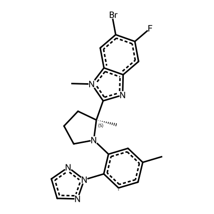 Cc1c[c]c(-n2nccn2)c(N2CCC[C@@]2(C)c2nc3cc(F)c(Br)cc3n2C)c1